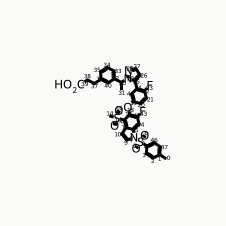 Cc1ccc(S(=O)(=O)n2ccc3c(S(C)(=O)=O)c(Oc4ccc(F)c(-c5ccnn5C(C)c5cccc(CCC(=O)O)c5)c4)c(F)cc32)cc1